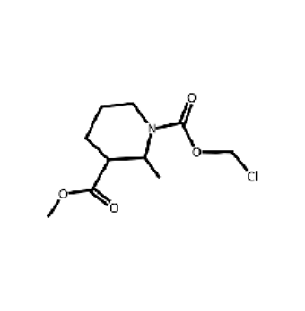 COC(=O)C1CCCN(C(=O)OCCl)C1C